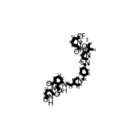 CC(O)C(C)c1nc2nc([C@H]3CC[C@H](CN4CCC(CCNc5cccc6c5C(=O)N(C5CCC(=O)NC5=O)C6=O)CC4)CC3)sc2cc1NC(=O)c1cccc(C(F)(F)F)n1